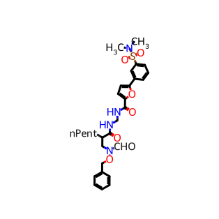 CCCCCC(CN(C=O)OCc1ccccc1)C(=O)NCNC(=O)c1ccc(-c2cccc(S(=O)(=O)N(C)C)c2)o1